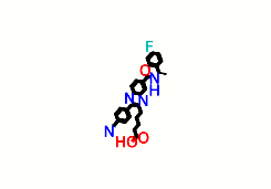 C[C@@H](NC(=O)c1ccc2nc(-c3ccc(C#N)cc3)c(CCCCC(=O)O)nc2c1)c1ccc(F)cc1